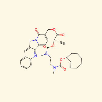 C#C[C@@]1(OC(=O)N(C)CCN(C)C(=O)OC2/C=C/CCCCC2)C(=O)OCc2c1cc1n(c2=O)Cc2cc3ccccc3nc2-1